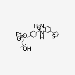 CCP(=O)(CCC(C)(C)O)OCc1ccc(C(=O)Nc2cc(-c3cccs3)ccc2N)cc1